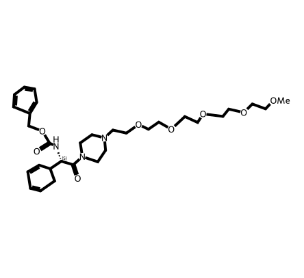 COCCOCCOCCOCCOCCN1CCN(C(=O)[C@@H](NC(=O)OCc2ccccc2)C2C=CC=CC2)CC1